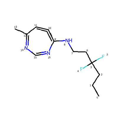 CCCC(F)(F)CCNC1=C=CC(C)=NC=N1